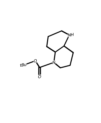 CC(C)(C)OC(=O)N1CCCC2NCCCC21